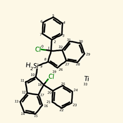 ClC1(c2ccccc2)C([SiH2]C2=Cc3ccccc3C2(Cl)c2ccccc2)=Cc2ccccc21.[Ti]